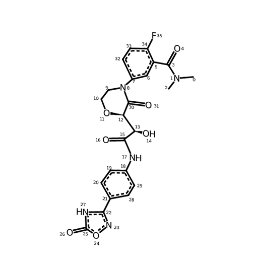 CN(C)C(=O)c1cc(N2CCO[C@H]([C@@H](O)C(=O)Nc3ccc(-c4noc(=O)[nH]4)cc3)C2=O)ccc1F